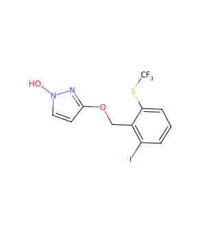 On1ccc(OCc2c(I)cccc2SC(F)(F)F)n1